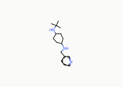 CC(C)(C)NC1CCC(NCc2cccnc2)CC1